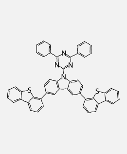 c1ccc(-c2nc(-c3ccccc3)nc(-n3c4ccc(-c5cccc6c5sc5ccccc56)cc4c4cc(-c5cccc6c5sc5ccccc56)ccc43)n2)cc1